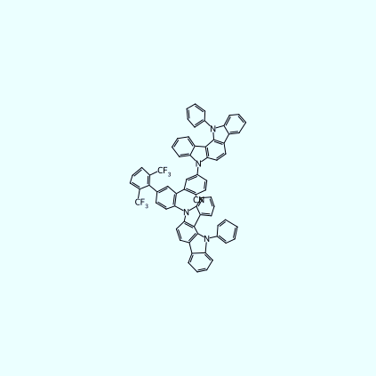 N#Cc1ccc(-n2c3ccccc3c3c2ccc2c4ccccc4n(-c4ccccc4)c23)cc1-c1cc(-c2c(C(F)(F)F)cccc2C(F)(F)F)ccc1-n1c2ccccc2c2c1ccc1c3ccccc3n(-c3ccccc3)c12